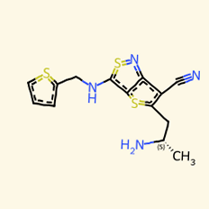 C[C@H](N)Cc1sc2c(NCc3cccs3)snc2c1C#N